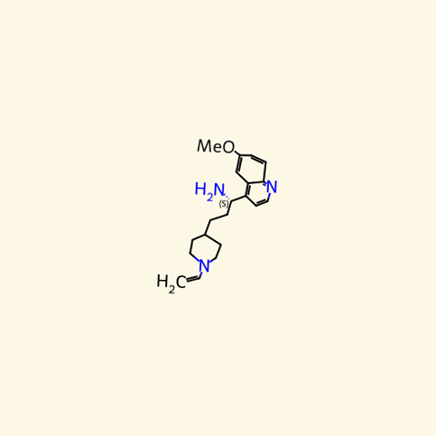 C=CN1CCC(CC[C@H](N)c2ccnc3ccc(OC)cc23)CC1